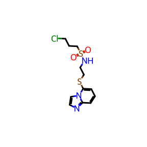 O=S(=O)(CCCCl)NCCSc1cccc2nccn12